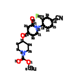 CC(C)(C)OC(=O)N1CCC(Oc2ccn(-c3ccc(C#N)cc3F)c(=O)c2)CC1